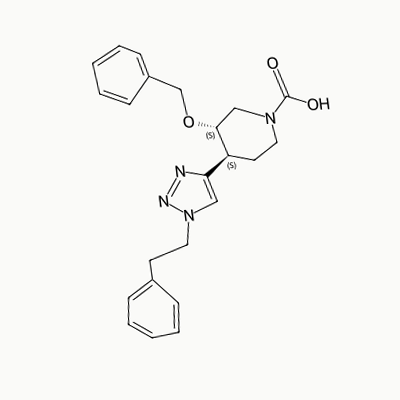 O=C(O)N1CC[C@@H](c2cn(CCc3ccccc3)nn2)[C@H](OCc2ccccc2)C1